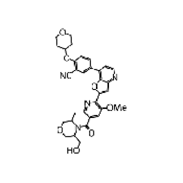 COc1cc(C(=O)N2C(C)COCC2CO)cnc1-c1cc2nccc(-c3ccc(OC4CCOCC4)c(C#N)c3)c2o1